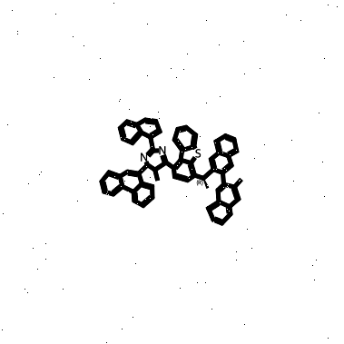 Cc1cc2ccccc2cc1-c1cc2ccccc2cc1[C@@H](C)c1ccc(C2=NC(c3cccc4ccccc34)=NC(c3cc4ccccc4c4ccccc34)C2C)c2c1sc1ccccc12